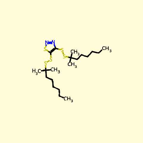 CCCCCCC(C)(C)SSc1nnsc1SSC(C)(C)CCCCCC